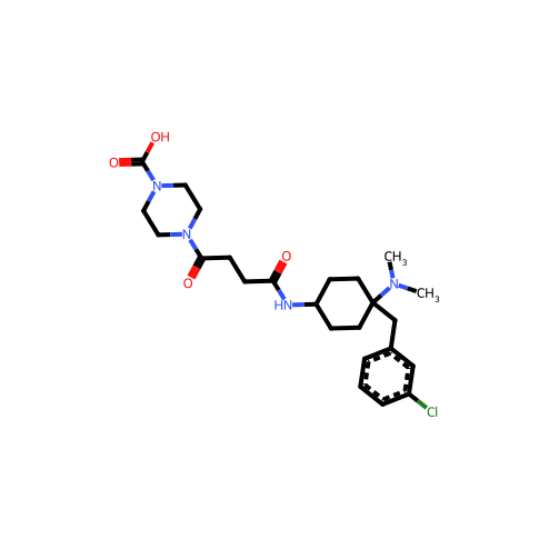 CN(C)C1(Cc2cccc(Cl)c2)CCC(NC(=O)CCC(=O)N2CCN(C(=O)O)CC2)CC1